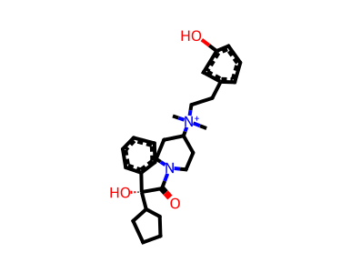 C[N+](C)(CCc1cccc(O)c1)C1CCN(C(=O)[C@](O)(c2ccccc2)C2CCCC2)CC1